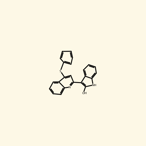 Oc1[nH]c2ccccc2c1-c1cc(Sc2ccccc2)c2ccccc2n1